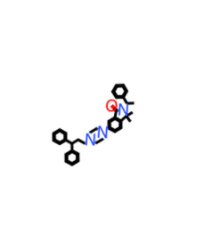 CC(c1ccccc1)N1C(=O)c2cc(N3CCN(CCC(c4ccccc4)c4ccccc4)CC3)ccc2C1(C)C